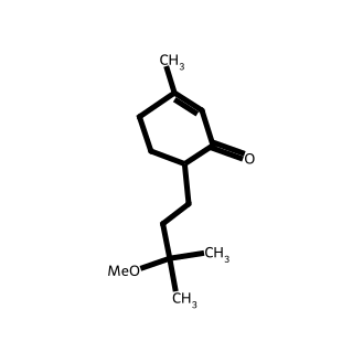 COC(C)(C)CCC1CCC(C)=CC1=O